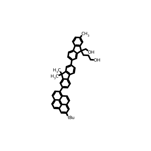 Cc1ccc2c(c1)C(CO)(CCCO)c1cc(-c3ccc4c(c3)C(C)(C)c3cc(-c5ccc6ccc7cc(C(C)(C)C)cc8ccc5c6c78)ccc3-4)ccc1-2